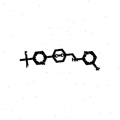 CC(F)(F)c1ccc(C23CCC(CNc4cc(Br)ccn4)(CC2)CC3)nc1